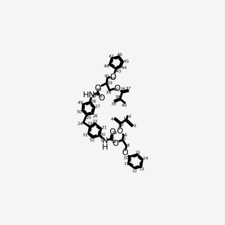 C=C(C)C(=C)OCC(COc1ccccc1)OC(=O)Nc1ccc(Cc2ccc(NC(=O)OC(COC(=C)C(=C)C)COc3ccccc3)cc2)cc1